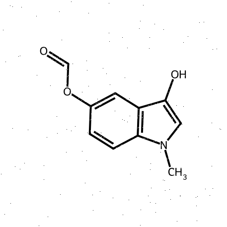 Cn1cc(O)c2cc(OC=O)ccc21